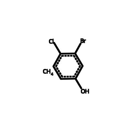 C.Oc1ccc(Cl)c(Br)c1